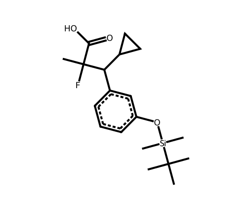 CC(F)(C(=O)O)C(c1cccc(O[Si](C)(C)C(C)(C)C)c1)C1CC1